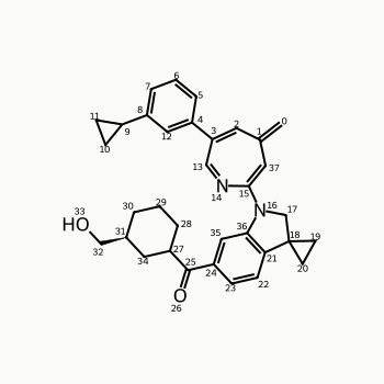 C=C1C=C(c2cccc(C3CC3)c2)C=NC(N2CC3(CC3)c3ccc(C(=O)C4CCC[C@H](CO)C4)cc32)=C1